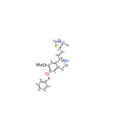 COc1cc2c(cc1OCc1ccccc1)CCNC2C=Cc1scnc1C